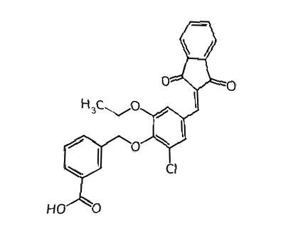 CCOc1cc(C=C2C(=O)c3ccccc3C2=O)cc(Cl)c1OCc1cccc(C(=O)O)c1